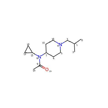 C[C](C)CN1CCC(N(C(C)=O)C2CC2)CC1